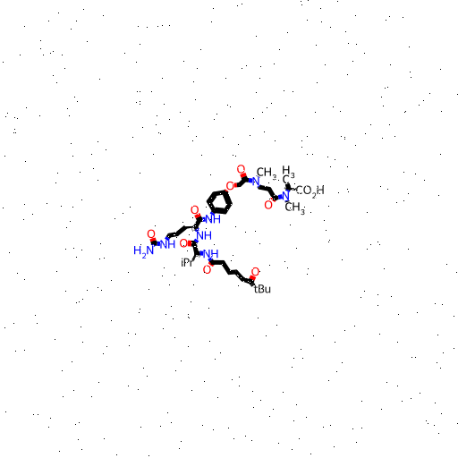 CC(C)[C@H](NC(=O)CCCCC(=O)C(C)(C)C)C(=O)N[C@@H](CCCNC(N)=O)C(=O)Nc1ccc(OCC(=O)N(C)CCC(=O)N(C)[C@@H](C)C(=O)O)cc1